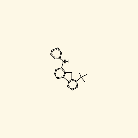 CC(C)(C)c1cccc2c1Cc1c(Nc3ccccc3)cccc1-2